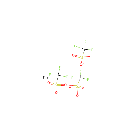 O=S(=O)([O-])C(F)(F)F.O=S(=O)([O-])C(F)(F)F.O=S(=O)([O-])C(F)(F)F.[Tm+3]